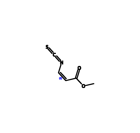 COC(=O)/C=C\N=C=S